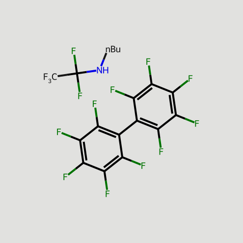 CCCCNC(F)(F)C(F)(F)F.Fc1c(F)c(F)c(-c2c(F)c(F)c(F)c(F)c2F)c(F)c1F